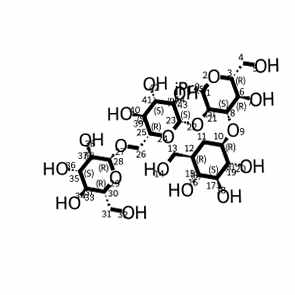 CC(C)[C@@H]1O[C@H](CO)[C@@H](O)[C@H](O[C@@H]2C[C@H](CO)[C@@H](O)[C@H](O)[C@H]2O)[C@H]1O[C@@H]1O[C@H](CO[C@@H]2O[C@H](CO)[C@@H](O)[C@H](O)[C@H]2O)[C@@H](O)[C@H](O)[C@H]1O